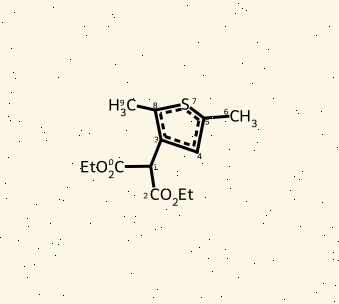 CCOC(=O)C(C(=O)OCC)c1cc(C)sc1C